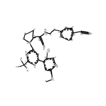 COc1cc(-c2cc(N3CCCC3C(=O)NCCc3ccc(C#N)cc3)nc(C(F)(F)F)n2)c(Cl)cn1